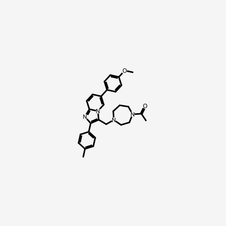 COc1ccc(-c2ccc3nc(-c4ccc(C)cc4)c(CN4CCCN(C(C)=O)CC4)n3c2)cc1